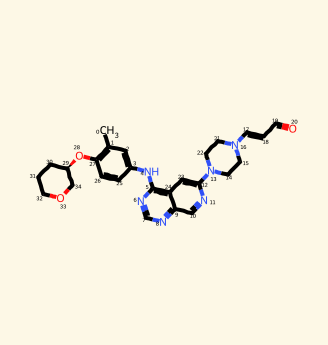 Cc1cc(Nc2ncnc3cnc(N4CCN(C=CC=O)CC4)cc23)ccc1O[C@@H]1CCCOC1